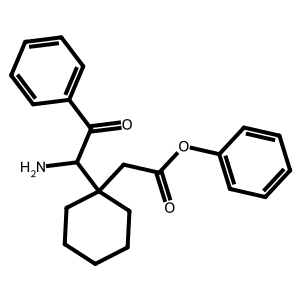 NC(C(=O)c1ccccc1)C1(CC(=O)Oc2ccccc2)CCCCC1